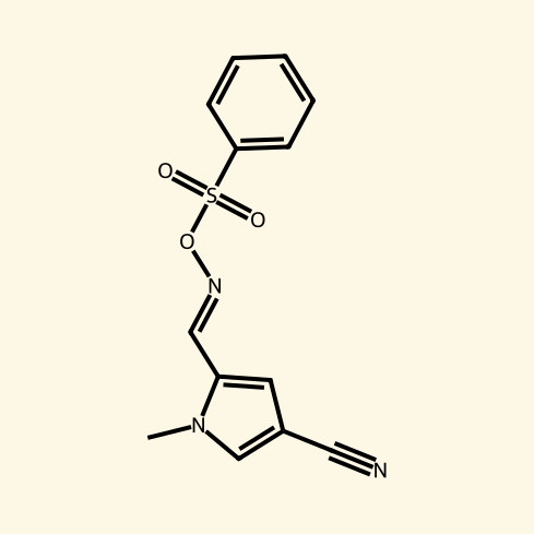 Cn1cc(C#N)cc1C=NOS(=O)(=O)c1ccccc1